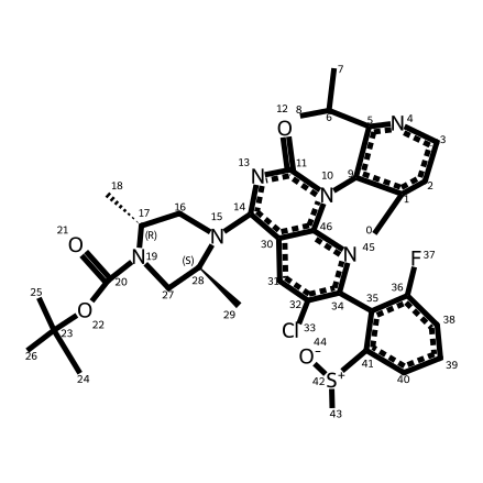 Cc1ccnc(C(C)C)c1-n1c(=O)nc(N2C[C@@H](C)N(C(=O)OC(C)(C)C)C[C@@H]2C)c2cc(Cl)c(-c3c(F)cccc3[S+](C)[O-])nc21